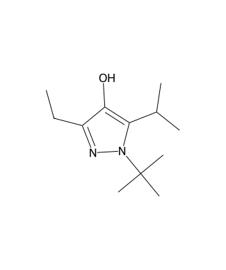 CCc1nn(C(C)(C)C)c(C(C)C)c1O